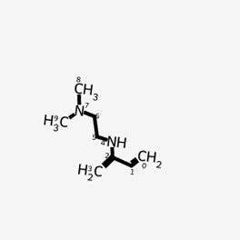 C=CC(=C)NCCN(C)C